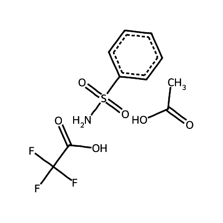 CC(=O)O.NS(=O)(=O)c1ccccc1.O=C(O)C(F)(F)F